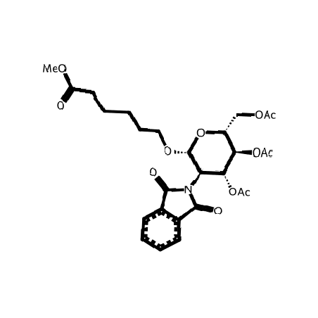 COC(=O)CCCCCO[C@@H]1O[C@H](COC(C)=O)[C@@H](OC(C)=O)[C@H](OC(C)=O)[C@H]1N1C(=O)c2ccccc2C1=O